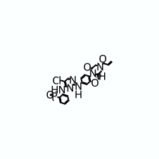 C=CC(=O)N1CC(=O)N2c3ccc(Nc4ncc(Cl)c(Nc5ccccc5P(C)(C)=O)n4)cc3OC[C@H]2C1